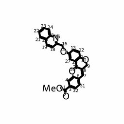 COC(=O)c1ccc(C=C2COc3ccc(OCc4ccc5ccccc5n4)cc3C2=O)cc1